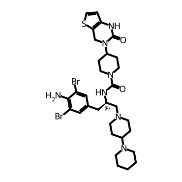 Nc1c(Br)cc(C[C@H](CN2CCC(N3CCCCC3)CC2)NC(=O)N2CCC(N3Cc4sccc4NC3=O)CC2)cc1Br